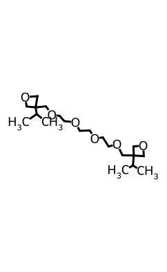 CC(C)C1(COCCOCCOCCOCC2(C(C)C)COC2)COC1